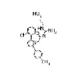 Cc1ccc(-c2ccc(-c3ccccc3Cl)n2CC(=O)/N=C(/N)NCCCO)cc1